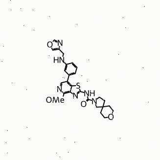 COc1ncc(-c2cccc(NCc3cocn3)c2)c2sc(NC(=O)N3CCC4(CCOCC4)C3)nc12